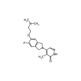 Cc1c(N2Cc3cc(F)c(OCCN(C)C)cc3C2)cn[nH]c1=O